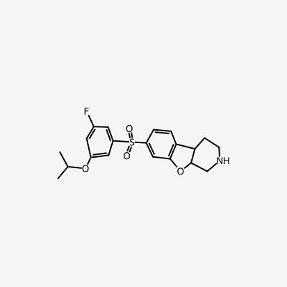 CC(C)Oc1cc(F)cc(S(=O)(=O)c2ccc3c(c2)OC2CNCCC32)c1